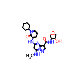 CNc1cc(Nc2cccn(C3CCCCC3)c2=O)nc2c(C(=O)NC3COC[C@@H]3O)cnn12